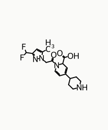 Cc1cc(C(F)F)nn1CC(=O)N1C=CC(C2CCNCC2)=CC1C(=O)O